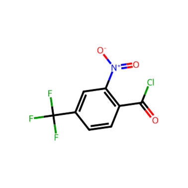 O=C(Cl)c1ccc(C(F)(F)F)cc1[N+](=O)[O-]